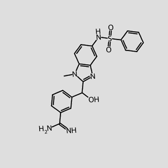 Cn1c(C(O)c2cccc(C(=N)N)c2)nc2cc(NS(=O)(=O)c3ccccc3)ccc21